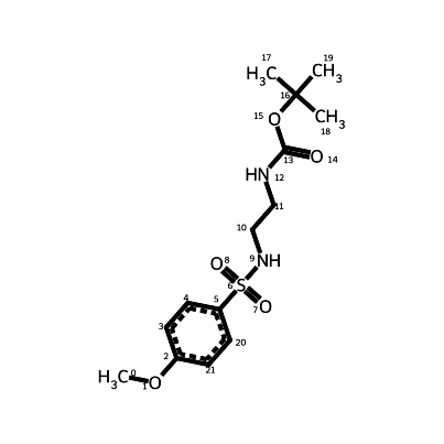 COc1ccc(S(=O)(=O)NCCNC(=O)OC(C)(C)C)cc1